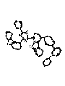 c1ccc(-c2cccc(-c3cccc(-c4ccc(-c5nc(-c6ccccc6)nc(-c6cccc7oc8ccccc8c67)n5)c5oc6ccccc6c45)c3)c2)cc1